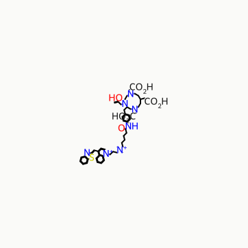 C=C(O)CN1CCN(CC(=O)O)CCC(CC(=O)O)CCN(CC(=O)O)CC1Cc1ccc(NC(=O)CCCCC[N+](C)(C)CCC[n+]2ccc(/C=C3\Sc4ccccc4N3C)c3ccccc32)cc1